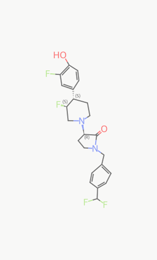 O=C1[C@H](N2CC[C@@H](c3ccc(O)c(F)c3)[C@H](F)C2)CCN1Cc1ccc(C(F)F)cc1